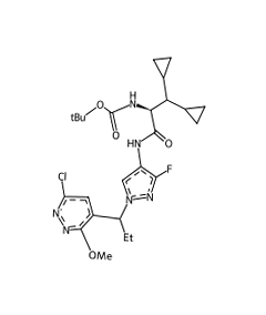 CCC(c1cc(Cl)nnc1OC)n1cc(NC(=O)[C@@H](NC(=O)OC(C)(C)C)C(C2CC2)C2CC2)c(F)n1